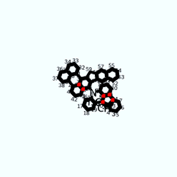 CC1(C)c2ccccc2-c2cccc(N(c3ccccc3-c3ccccc3)c3ccc(-c4cccc5cccc(-c6ccccc6)c45)c4c3-c3cc5ccccc5cc3C4)c21